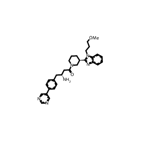 COCCCn1c([C@@H]2CCCN(C(=O)C[C@H](N)Cc3ccc(-c4cncnc4)cc3)C2)nc2ccccc21